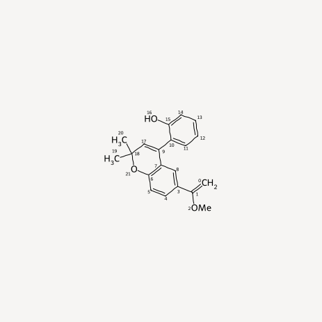 C=C(OC)c1ccc2c(c1)C(c1ccccc1O)=CC(C)(C)O2